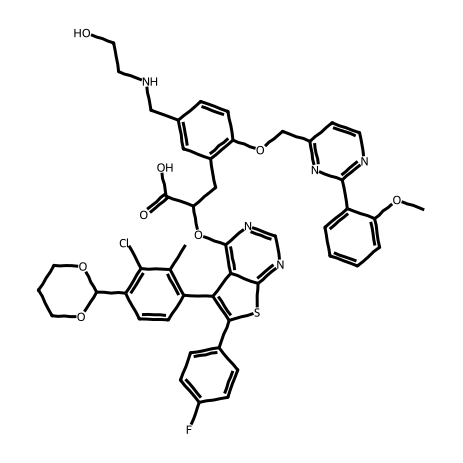 COc1ccccc1-c1nccc(COc2ccc(CNCCO)cc2CC(Oc2ncnc3sc(-c4ccc(F)cc4)c(-c4ccc(C5OCCCO5)c(Cl)c4C)c23)C(=O)O)n1